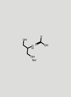 OC(=S)[S-].OCC(O)CO.[Na+]